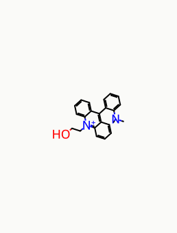 CN(C)c1ccccc1-c1c2ccccc2[n+](CCO)c2ccccc12